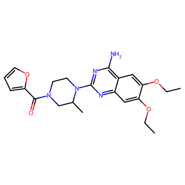 CCOc1cc2nc(N3CCN(C(=O)c4ccco4)CC3C)nc(N)c2cc1OCC